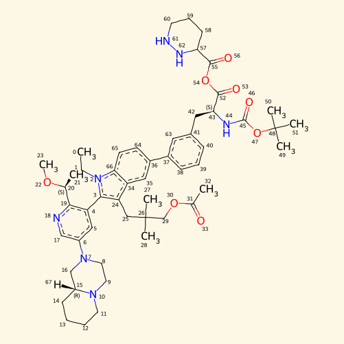 CCn1c(-c2cc(N3CCN4CCCC[C@@H]4C3)cnc2[C@H](C)OC)c(CC(C)(C)COC(C)=O)c2cc(-c3cccc(C[C@H](NC(=O)OC(C)(C)C)C(=O)OC(=O)C4CCCNN4)c3)ccc21